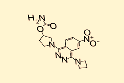 NC(=O)OC1CCN(c2nnc(N3CCC3)c3cc([N+](=O)[O-])ccc23)C1